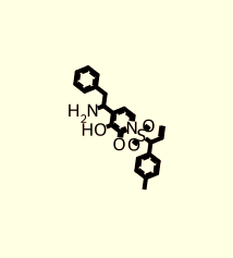 C=CC(c1ccc(C)cc1)S(=O)(=O)n1ccc(C(N)Cc2ccccc2)c(O)c1=O